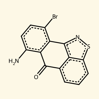 Nc1ccc(Br)c2c1C(=O)c1cccc3snc-2c13